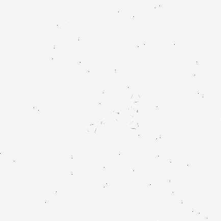 CCC[C@](N)(SC1NN(c2cc(F)cc(F)c2)NN1c1ccccc1)C(=O)OCNCc1cccc(CC)c1